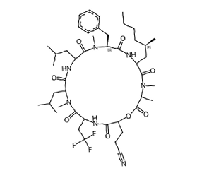 CCCC[C@@H](C)CC1NC(=O)[C@H](Cc2ccccc2)N(C)C(=O)C(CC(C)C)NC(=O)C(CC(C)C)N(C)C(=O)C(CC(F)(F)F)NC(=O)C(CCC#N)OC(=O)C(C)N(C)C1=O